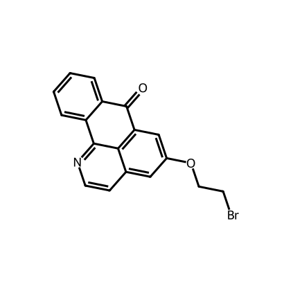 O=C1c2ccccc2-c2nccc3cc(OCCBr)cc1c23